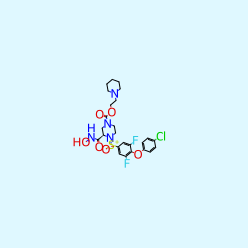 O=C(NO)[C@H]1CN(C(=O)OCCN2CCCCC2)CCN1[S+]([O-])c1cc(F)c(Oc2ccc(Cl)cc2)c(F)c1